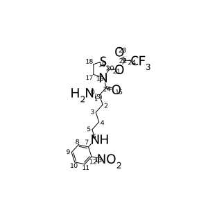 N[C@@H](CCCCNc1ccccc1[N+](=O)[O-])C(=O)N1CCSC1OC(=O)C(F)(F)F